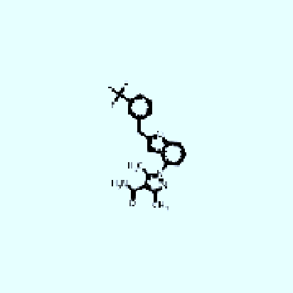 Cc1nn(-c2cccc3oc(Cc4cccc(C(F)(F)F)c4)cc23)c(C)c1C(N)=O